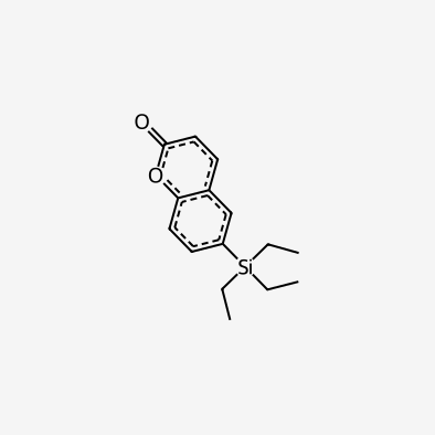 CC[Si](CC)(CC)c1ccc2oc(=O)ccc2c1